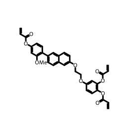 C=CC(=O)Oc1ccc(-c2ccc3cc(OCCOc4ccc(OC(=O)C=C)c(OC(=O)C=C)c4)ccc3c2)c(OC)c1